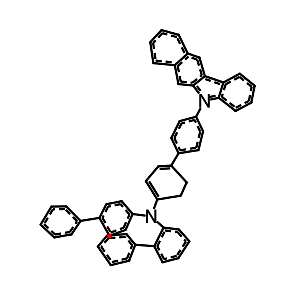 C1=C(c2ccc(-n3c4ccccc4c4cc5ccccc5cc43)cc2)CCC(N(c2ccc(-c3ccccc3)cc2)c2ccccc2-c2ccccc2)=C1